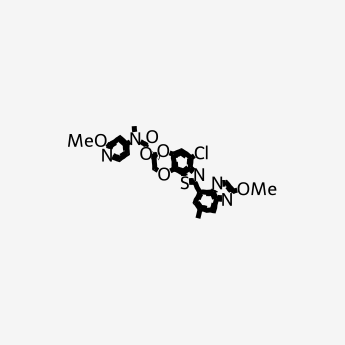 COc1cc(N(C)C(=O)O[C@@H]2COc3c(cc(Cl)c4nc(-c5cc(C)cc6nc(OC)cnc56)sc34)O2)ccn1